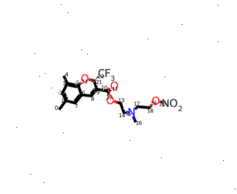 Cc1cc(C)c2c(c1)C=C(C(=O)OCCN(C)CCO[N+](=O)[O-])[C@@H](C(F)(F)F)O2